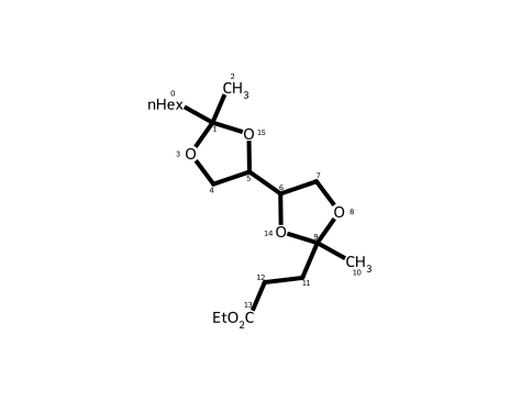 CCCCCCC1(C)OCC(C2COC(C)(CCC(=O)OCC)O2)O1